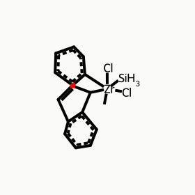 [CH3][Zr]([SiH3])([Cl])([Cl])([c]1ccccc1)[CH]1C=Cc2ccccc21